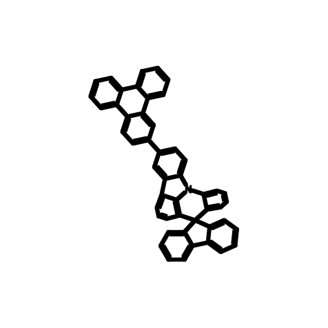 c1ccc2c(c1)-c1ccccc1C21c2ccccc2-n2c3ccc(-c4ccc5c6ccccc6c6ccccc6c5c4)cc3c3cccc1c32